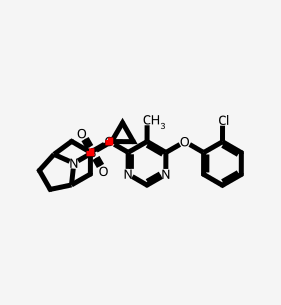 Cc1c(Oc2ccccc2Cl)ncnc1OC1CC2CCC(C1)N2S(=O)(=O)C1CC1